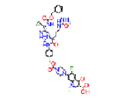 CCn1cc(C(=O)O)c(=O)c2cc(F)c(N3CCN(C(=O)OCc4ccc(NC(=O)[C@H](CCCNC(N)=O)N/C=C(\N)[C@@H](NC(=O)OCc5ccccc5)C5CC5)cc4)CC3)cc21